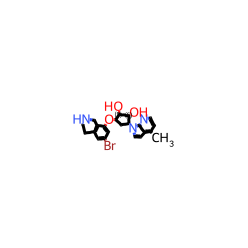 Cc1ccnc2c1ccn2C1CC(Oc2cc(Br)cc3c2CNCC3)[C@@H](O)[C@H]1O